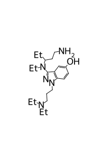 CCC(CCN)N(CC)c1nn(CCCN(CC)CC)c2ccc(O)cc12